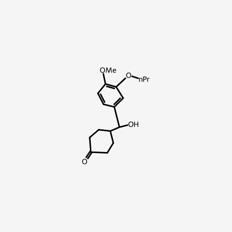 CCCOc1cc(C(O)C2CCC(=O)CC2)ccc1OC